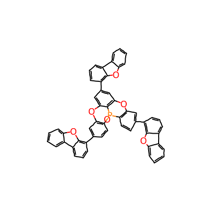 O=P12c3ccc(-c4cccc5c4oc4ccccc45)cc3Oc3cc(-c4cccc5c4oc4ccccc45)cc(c31)Oc1cc(-c3cccc4c3oc3ccccc34)ccc12